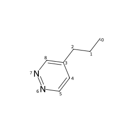 [CH2]CCc1ccnnc1